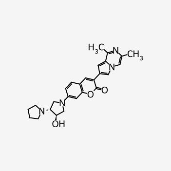 Cc1cn2cc(-c3cc4ccc(N5C[C@@H](O)[C@H](N6CCCC6)C5)cc4oc3=O)cc2c(C)n1